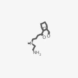 CN(CCN)CCCC(=O)C1C2CCC(O2)C1C=O